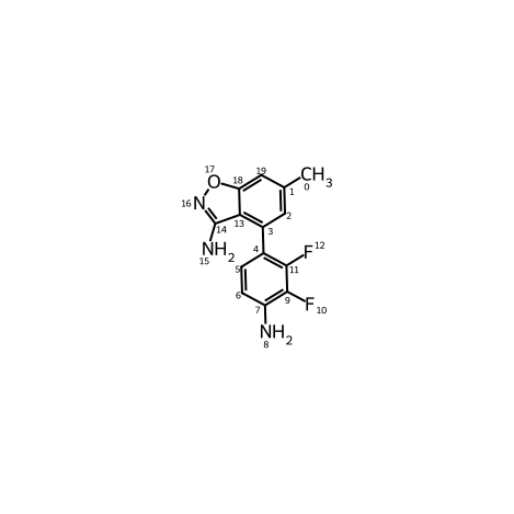 Cc1cc(-c2ccc(N)c(F)c2F)c2c(N)noc2c1